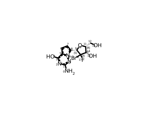 Nc1nc(O)c2ccc([C@@H]3O[C@H](CO)[C@H](O)C3(F)Br)n2n1